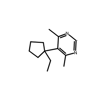 CCC1(c2c(C)n[c]nc2C)CCCC1